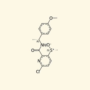 COc1ccc([C@@H](C)NC(=O)c2nc(Cl)ccc2[S@@+](C)[O-])cc1